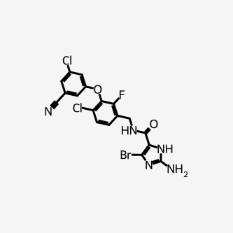 N#Cc1cc(Cl)cc(Oc2c(Cl)ccc(CNC(=O)c3[nH]c(N)nc3Br)c2F)c1